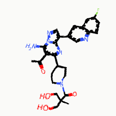 CC(=O)c1c(C2CCN(C(=O)C(C)(CO)CO)CC2)nc2c(-c3cnc4ccc(F)cc4c3)cnn2c1N